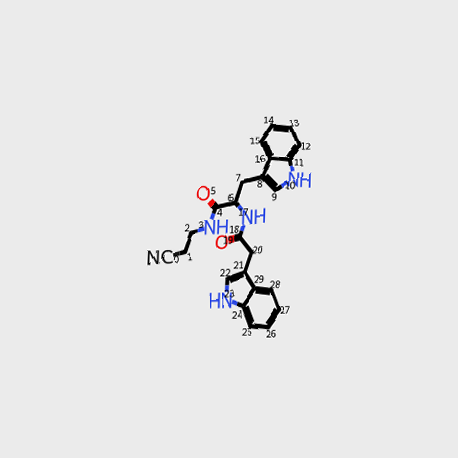 N#CCCNC(=O)C(Cc1c[nH]c2ccccc12)NC(=O)Cc1c[nH]c2ccccc12